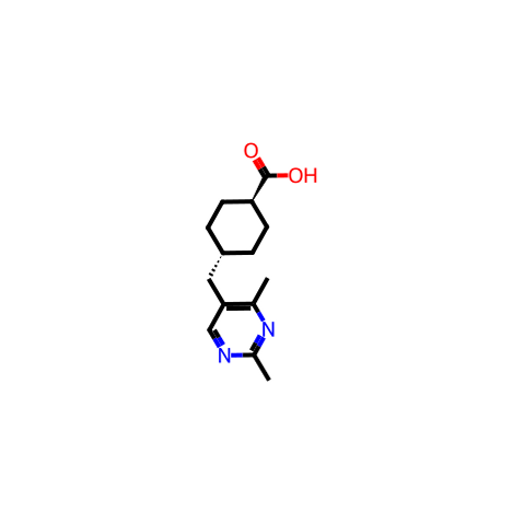 Cc1ncc(C[C@H]2CC[C@H](C(=O)O)CC2)c(C)n1